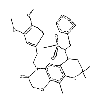 COC1=C(OC)CCC(CCN2C(=O)COc3c2cc2c(c3C)OC(C)(C)CC2N(Cc2ccccc2)S(C)(=O)=O)=C1